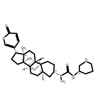 CN(C(=O)N[C@@H]1CCCNC1)[C@H]1CC[C@@]2(C)[C@H](CC[C@@H]3[C@@H]2CC[C@]2(C)[C@@H](c4ccc(=O)oc4)CC[C@]32O)C1